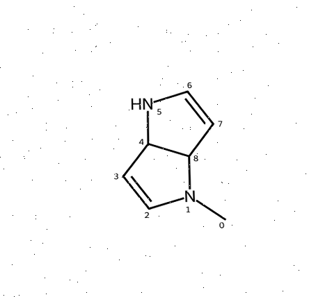 CN1C=CC2NC=CC21